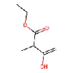 C=C(O)C(C)C(=O)OCC